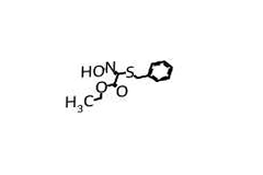 CCOC(=O)/C(=N\O)SCc1ccccc1